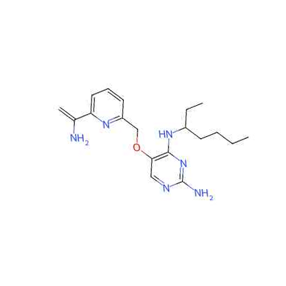 C=C(N)c1cccc(COc2cnc(N)nc2NC(CC)CCCC)n1